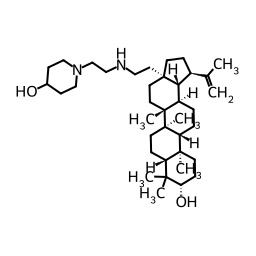 C=C(C)[C@@H]1CC[C@]2(CCNCCN3CCC(O)CC3)CC[C@]3(C)[C@H](CC[C@@H]4[C@@]5(C)CC[C@H](O)C(C)(C)[C@@H]5CC[C@]43C)[C@@H]12